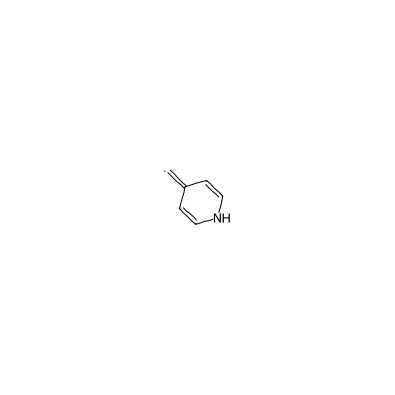 [CH]=C1C=CNC=C1